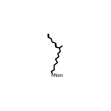 C=CCCC=CC(C)CCCCCCCCCCCCCCCCC